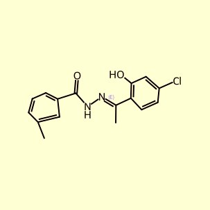 C/C(=N\NC(=O)c1cccc(C)c1)c1ccc(Cl)cc1O